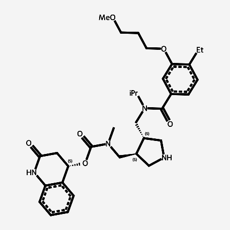 CCc1ccc(C(=O)N(C[C@@H]2CNC[C@H]2CN(C)C(=O)O[C@H]2CC(=O)Nc3ccccc32)C(C)C)cc1OCCCOC